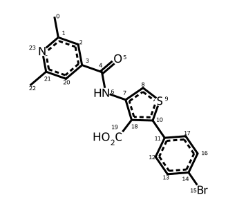 Cc1cc(C(=O)Nc2csc(-c3ccc(Br)cc3)c2C(=O)O)cc(C)n1